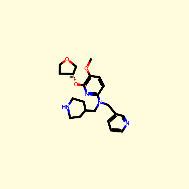 COc1ccc(N(Cc2cccnc2)CC2CCNCC2)nc1O[C@@H]1CCOC1